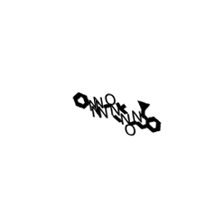 CC1(C)CN(C(=O)c2cc3ccccc3c(C3CC3)n2)CCN1C(=O)c1nnn(-c2ccccc2)n1